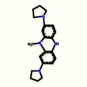 CN1c2cc(N3CCCC3)ccc2Nc2ccc(N3CCCC3)cc21